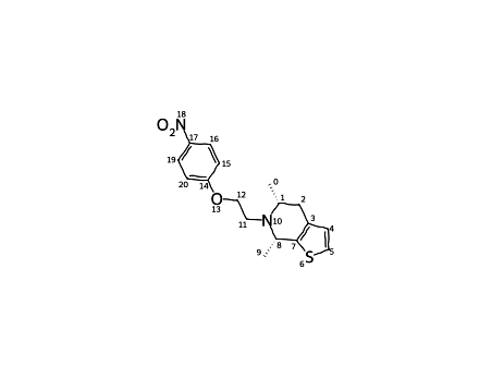 C[C@@H]1Cc2ccsc2[C@H](C)N1CCOc1ccc([N+](=O)[O-])cc1